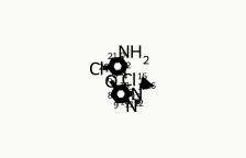 Nc1cc(Cl)c(Oc2ccc3ncn(C4CC4)c3c2)c(Cl)c1